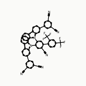 N#Cc1cc(C#N)cc(-c2ccc3c4ccccc4n(-c4cc(C#N)c(-c5ccc(C(F)(F)F)cc5C(F)(F)F)cc4-n4c5ccccc5c5ccc(-c6cc(C#N)cc(C#N)c6)cc54)c3c2)c1